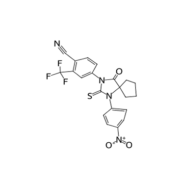 N#Cc1ccc(N2C(=O)C3(CCCC3)N(c3ccc([N+](=O)[O-])cc3)C2=S)cc1C(F)(F)F